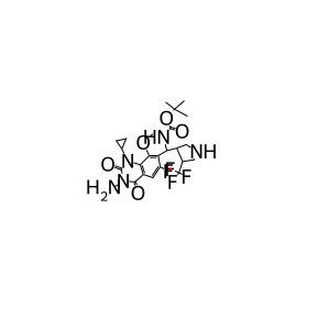 COc1c(C(NC(=O)OC(C)(C)C)C2CNCC2C(F)(F)F)c(F)cc2c(=O)n(N)c(=O)n(C3CC3)c12